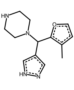 Cc1ccoc1C(c1cn[nH]c1)N1CCNCC1